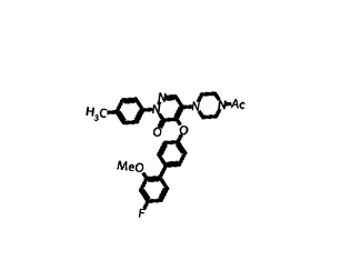 COc1cc(F)ccc1-c1ccc(Oc2c(N3CCN(C(C)=O)CC3)cnn(-c3ccc(C)cc3)c2=O)cc1